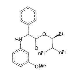 CCCC(CCC)[C@H](CC)OC(=O)C(Nc1cccc(OC)c1)c1ccccc1